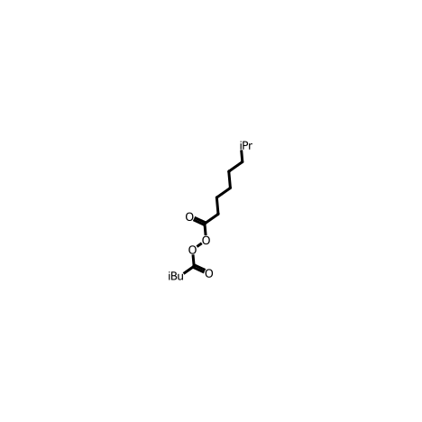 CCC(C)C(=O)OOC(=O)CCCCCC(C)C